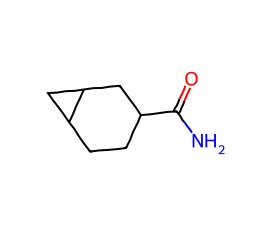 NC(=O)C1CCC2CC2C1